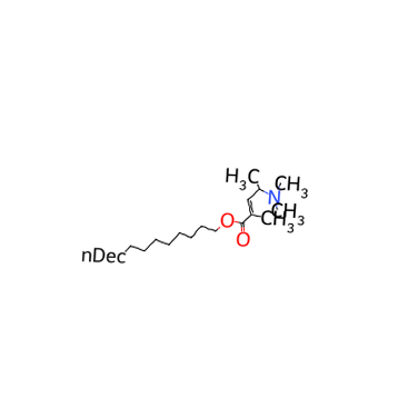 CCCCCCCCCCCCCCCCCCOC(=O)C(C)=CC(C)N(C)C